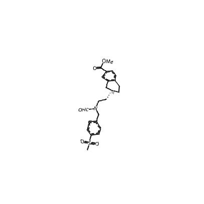 COC(=O)c1ccc2c(c1)C[C@@H](CCN(C=O)Cc1ccc(S(C)(=O)=O)cc1)CC2